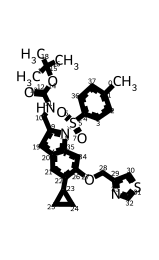 Cc1ccc(S(=O)(=O)n2c(CNC(=O)OC(C)(C)C)cc3cc(C4CC4)c(OCc4cscn4)cc32)cc1